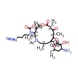 CC[C@H]1OC(=O)[C@H](C)C(=O)[C@H](C)[C@@H](O[C@@H]2O[C@H](C)CC(N)C2O)[C@](C)(OC)C[C@@H](C)CN(C(C)=O)[C@H](C)[C@H]2N(CCCCN=[N+]=[N-])C(=O)O[C@]12C